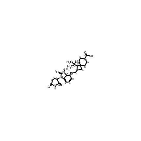 Cn1c(=O)n(C2CCC(=O)NC2=O)c2cccc(NCC3CC4(CCN(C(=O)O)CC4)C3C(C)(C)C)c21